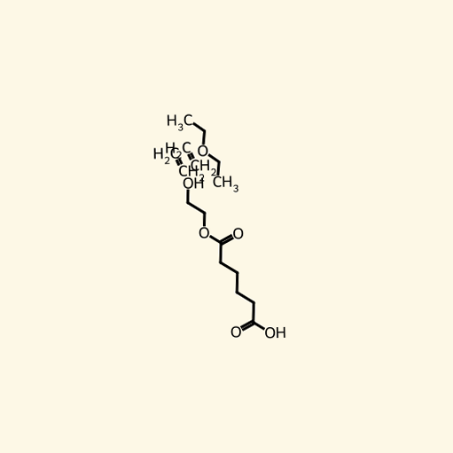 C=C.C=C.CCOCC.O=C(O)CCCCC(=O)OCCO